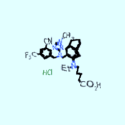 CCN(CCCCC(=O)O)c1cc2c(cc1CN(Cc1cc(C#N)cc(C(F)(F)F)c1)c1ncn(C)n1)CCC2.Cl